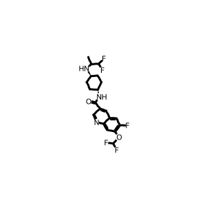 CC(N[C@H]1CC[C@H](NC(=O)c2cnc3cc(OC(F)F)c(F)cc3c2)CC1)C(F)F